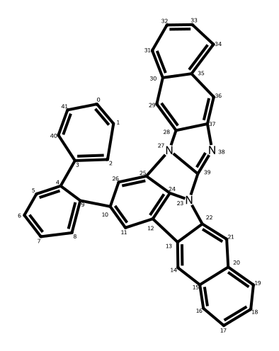 c1ccc(-c2ccccc2-c2cc3c4cc5ccccc5cc4n4c3c(c2)n2c3cc5ccccc5cc3nc24)cc1